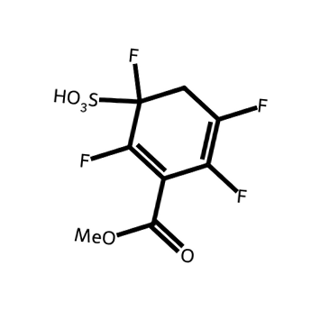 COC(=O)C1=C(F)C(F)(S(=O)(=O)O)CC(F)=C1F